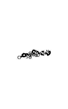 O=C(CN1CCC[C@H](NS(=O)(=O)c2cc3ccc(Cl)cc3s2)C1=O)N1CCN(c2ccccn2)CC1